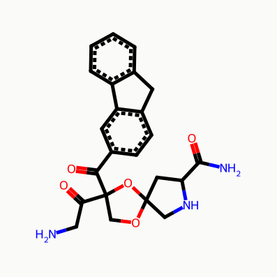 NCC(=O)C1(C(=O)c2ccc3c(c2)-c2ccccc2C3)COC2(CNC(C(N)=O)C2)O1